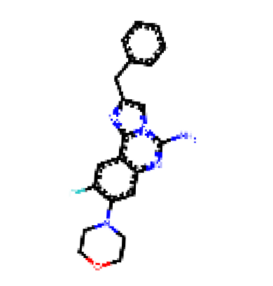 Nc1nc2cc(N3CCOCC3)c(F)cc2c2nc(Cc3ccccc3)cn12